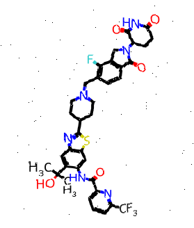 CC(C)(O)c1cc2nc(C3CCN(Cc4ccc5c(c4F)CN(C4CCC(=O)NC4=O)C5=O)CC3)sc2cc1NC(=O)c1cccc(C(F)(F)F)n1